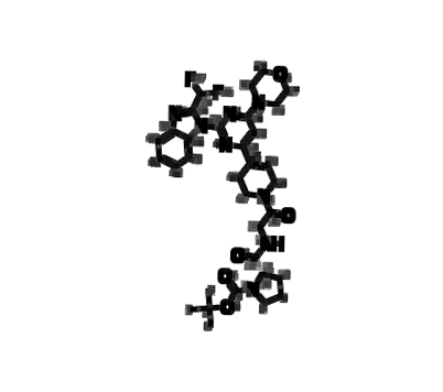 CC(C)(C)OC(=O)N1CCC[C@H]1C(=O)NCC(=O)N1CC=C(c2cc(N3CCOCC3)nc(-n3c(C(F)F)nc4ccccc43)n2)CC1